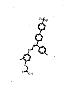 Cc1cc(SC/C=C(\c2ccc(F)cc2)c2ccc(-c3ccc(C(F)(F)F)cc3)cc2)ccc1OCC(=O)O